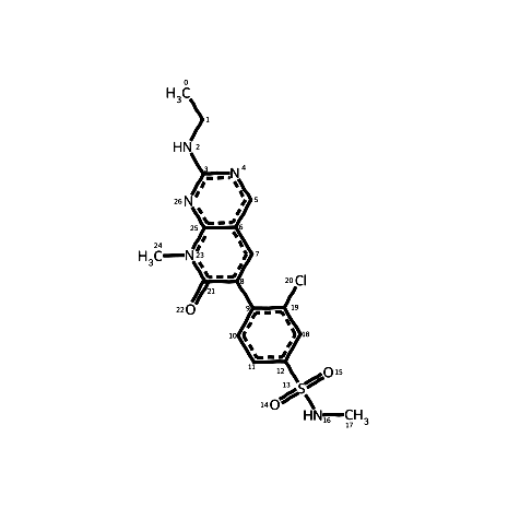 CCNc1ncc2cc(-c3ccc(S(=O)(=O)NC)cc3Cl)c(=O)n(C)c2n1